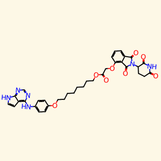 O=C1CCC(N2C(=O)c3cccc(OCC(=O)OCCCCCCCCOc4ccc(Nc5ncnc6[nH]ccc56)cc4)c3C2=O)C(=O)N1